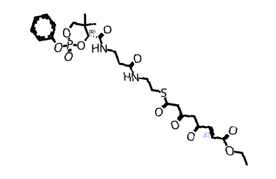 CCOC(=O)/C=C/C(=O)CC(=O)CC(=O)SCCNC(=O)CCNC(=O)[C@@H]1OP(=O)(Oc2ccccc2)OCC1(C)C